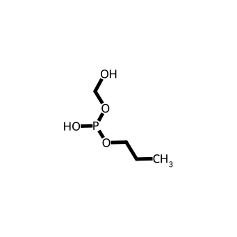 CCCOP(O)OCO